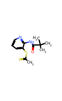 CC(=S)Sc1cccnc1NC(=O)C(C)(C)C